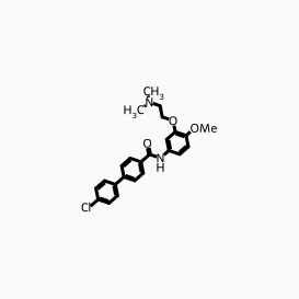 COc1ccc(NC(=O)c2ccc(-c3ccc(Cl)cc3)cc2)cc1OCCN(C)C